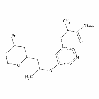 CNC(=O)C(C)Cc1cncc(OC(C)CC2CC(C(C)C)CCO2)c1